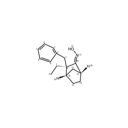 CC[C@]1(Cc2ccccc2)/C(=N\O)[C@@H]2CC[C@H]1C2